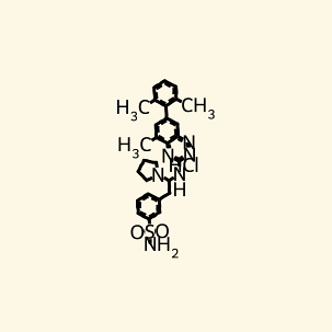 Cc1cccc(C)c1-c1cc(C)c2nc(NC(Cc3cccc(S(N)(=O)=O)c3)N3CCCC3)nnc2c1.Cl